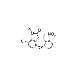 CC(C)OC(=O)C1c2cc(Cl)ccc2Oc2ccccc2C1C[N+](=O)[O-]